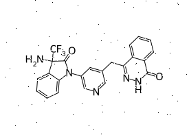 NC1(C(F)(F)F)C(=O)N(c2cncc(Cc3n[nH]c(=O)c4ccccc34)c2)c2ccccc21